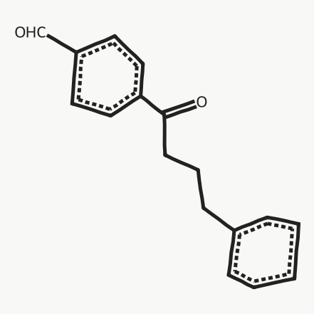 O=Cc1ccc(C(=O)CCCc2ccccc2)cc1